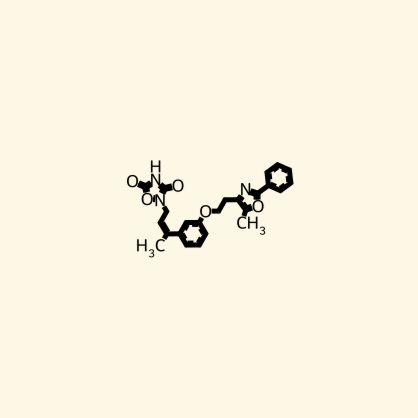 C/C(=C/Cn1oc(=O)[nH]c1=O)c1cccc(OCCc2nc(-c3ccccc3)oc2C)c1